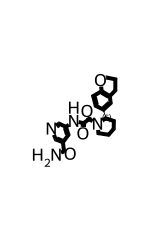 NC(=O)c1cncc(NC(=O)C(=O)N2CCCC[C@H]2c2ccc3c(c2)CCCO3)c1